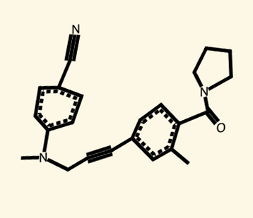 Cc1cc(C#CCN(C)c2ccc(C#N)cc2)ccc1C(=O)N1CCCC1